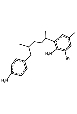 Cc1cc(C(C)C)c(N)c(C(C)CCC(C)Cc2ccc(N)cc2)c1